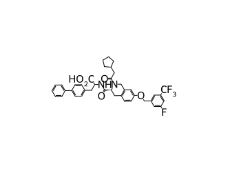 O=C(O)[C@H](Cc1ccc(-c2ccccc2)cc1)NC(=O)[C@@H]1Cc2ccc(OCc3cc(F)cc(C(F)(F)F)c3)cc2CN1C(=O)CC1CCCC1